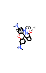 CN(C)c1ccc2c(c1)Oc1cc(N(C)C)ccc1C21c2ccccc2C(=O)N1N(C(=O)O)C(C)(C)C